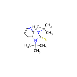 CC(C)(C)n1c(=S)n(C(C)(C)C)c2ncccc21